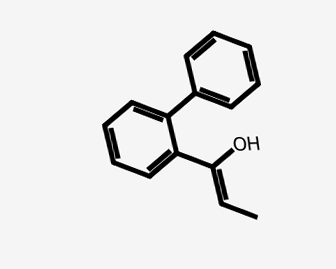 CC=C(O)c1ccccc1-c1ccccc1